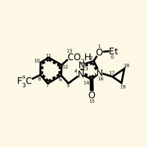 CCOc1nn(Cc2cc(C(F)(F)F)ccc2C(=O)O)c(=O)n1C1CC1